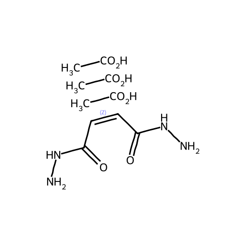 CC(=O)O.CC(=O)O.CC(=O)O.NNC(=O)/C=C\C(=O)NN